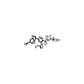 CC(CF)Nc1cc(-c2cnc3cc(C#N)cnn23)ncc1C(=O)NCC(F)C(C)(C)O